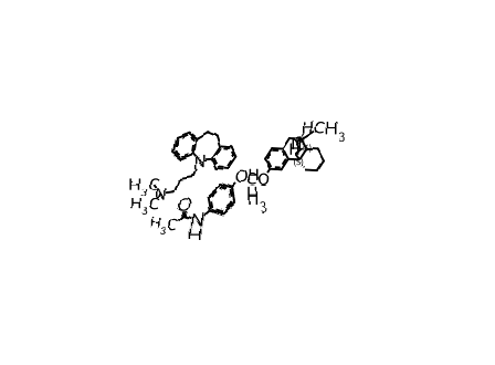 CC(=O)Nc1ccc(O)cc1.CN(C)CCCN1c2ccccc2CCc2ccccc21.COc1ccc2c(c1)[C@]13CCCC[C@@H]1[C@H](C2)N(C)CC3